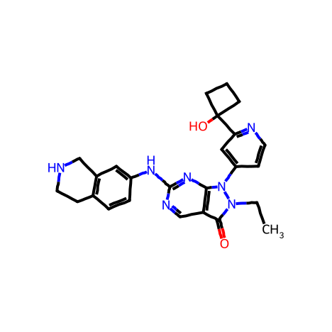 CCn1c(=O)c2cnc(Nc3ccc4c(c3)CNCC4)nc2n1-c1ccnc(C2(O)CCC2)c1